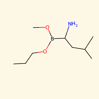 CCCOB(OC)C(N)CC(C)C